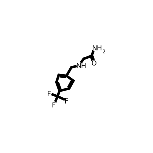 NC(=O)CNCc1ccc(C(F)(F)F)cc1